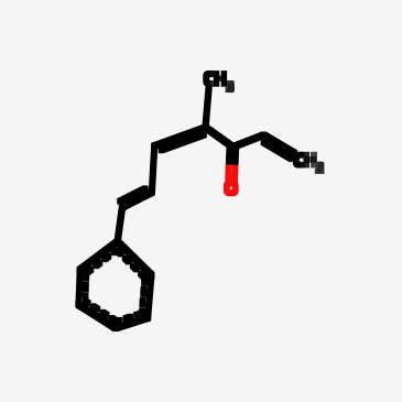 C=CC(=O)C(C)=CC=Cc1ccccc1